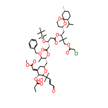 CCC(=O)O[C@H]1/C(=C/C(=O)OC)C[C@@H](C[C@@H](OC(=O)C[C@@H](CC(=O)O[C@@H](C[C@@H]2CCOC3(C[C@H](C)CC[C@H]3C(C)C)O2)C(C)(C)COC(=O)CCl)O[Si](C)(C)C(C)(C)C)C(C)OCc2ccccc2)O[C@@]1(O)C(C)(C)/C=C/C=O